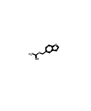 N=C(N)SCc1ccc2sccc2c1